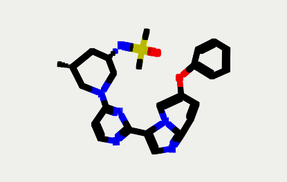 C[C@@H]1C[C@H](N=S(C)(C)=O)CN(c2ccnc(-c3cnc4ccc(Oc5ccccc5)cn34)n2)C1